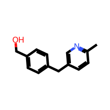 Cc1ccc(Cc2ccc(CO)cc2)cn1